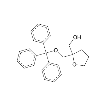 OCC1(COC(c2ccccc2)(c2ccccc2)c2ccccc2)CCCO1